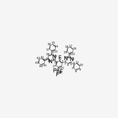 Fc1c(-c2cc(-c3ccccc3)nc(-c3ccccc3)n2)cc(C(F)(F)F)cc1-c1nc(-c2ccccc2)cc(-c2ccccc2)n1